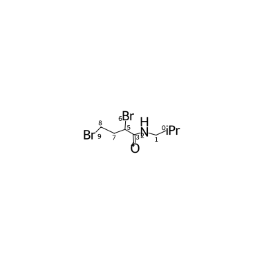 CC(C)CNC(=O)C(Br)CCBr